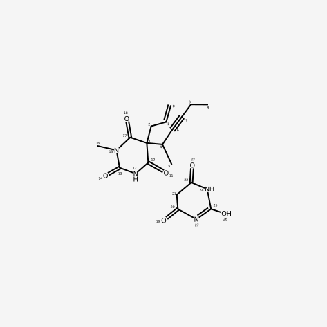 C=CCC1(C(C)C#CCC)C(=O)NC(=O)N(C)C1=O.O=C1CC(=O)NC(O)=N1